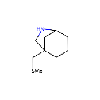 CSCC12CCCC(C1)NC2